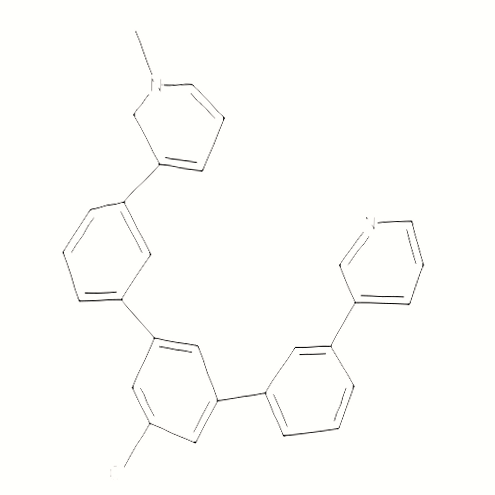 CN1C=CC=C(c2cccc(-c3cc(Cl)cc(-c4cccc(-c5cccnc5)c4)c3)c2)C1